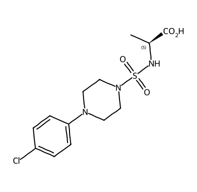 C[C@H](NS(=O)(=O)N1CCN(c2ccc(Cl)cc2)CC1)C(=O)O